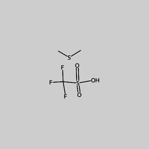 CSC.O=S(=O)(O)C(F)(F)F